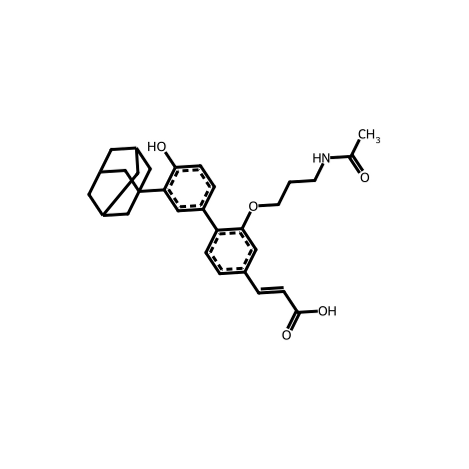 CC(=O)NCCCOc1cc(/C=C/C(=O)O)ccc1-c1ccc(O)c(C23CC4CC(CC(C4)C2)C3)c1